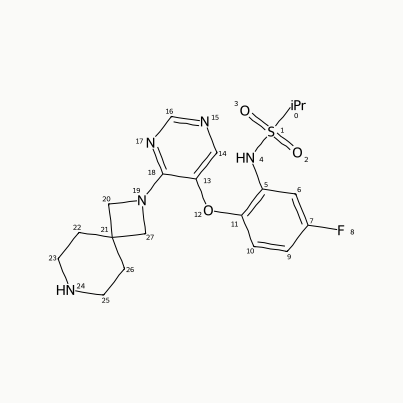 CC(C)S(=O)(=O)Nc1cc(F)ccc1Oc1cncnc1N1CC2(CCNCC2)C1